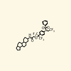 O=C(COC(c1ccc(N(CC(F)(F)F)S(=O)(=O)c2ccccc2)cc1)(C(F)(F)F)C(F)(F)F)NC1CCC2C(CCC3C4CCCC4CCC23)C1